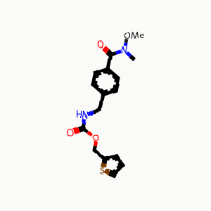 CON(C)C(=O)c1ccc(CNC(=O)OCc2cccs2)cc1